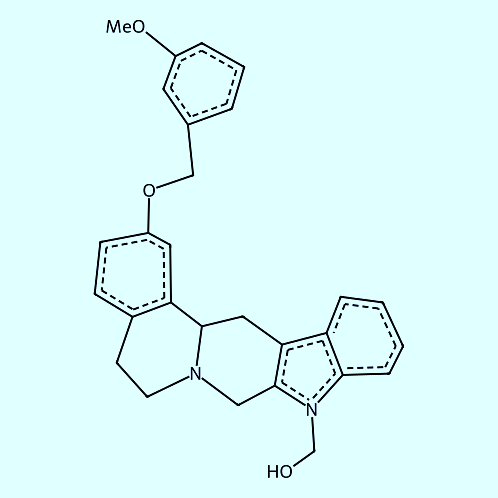 COc1cccc(COc2ccc3c(c2)C2Cc4c(n(CO)c5ccccc45)CN2CC3)c1